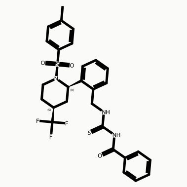 Cc1ccc(S(=O)(=O)N2CC[C@H](C(F)(F)F)C[C@@H]2c2ccccc2CNC(=S)NC(=O)c2ccccc2)cc1